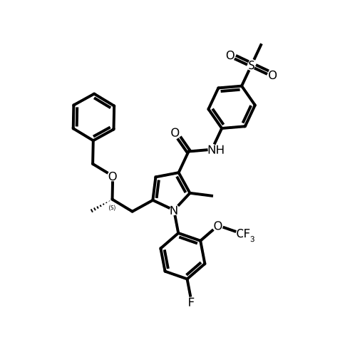 Cc1c(C(=O)Nc2ccc(S(C)(=O)=O)cc2)cc(C[C@H](C)OCc2ccccc2)n1-c1ccc(F)cc1OC(F)(F)F